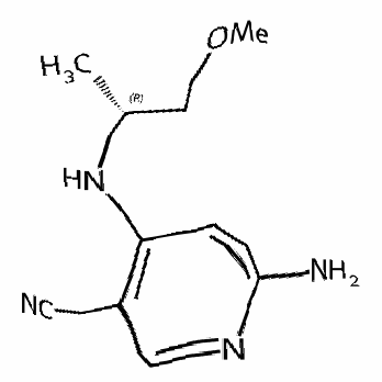 COC[C@@H](C)Nc1cc(N)ncc1C#N